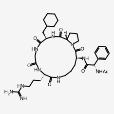 CC(=O)N[C@H](C(=O)N[C@H]1CCCNC(=O)[C@H](CCCNC(=N)N)NC(=O)CNC(=O)[C@@H](CC2CCCCC2)NC(=O)[C@@H]2CCCN2C1=O)c1ccccc1